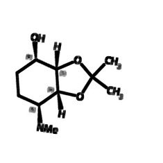 CN[C@H]1CC[C@@H](O)[C@@H]2OC(C)(C)O[C@@H]21